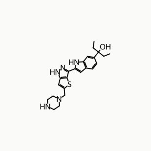 CCC(O)(CC)c1ccc2cc(-c3n[nH]c4cc(CN5CCNCC5)sc34)[nH]c2c1